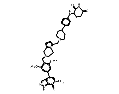 COc1cc(-c2cn(C)c(=O)c3[nH]ncc23)cc(OC)c1CN1CCn2c(CN3CCC(c4ccc(NC5CCC(=O)NC5=O)cc4)CC3)ccc2C1